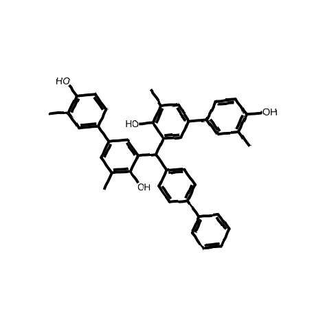 Cc1cc(-c2cc(C)c(O)c(C(c3ccc(-c4ccccc4)cc3)c3cc(-c4ccc(O)c(C)c4)cc(C)c3O)c2)ccc1O